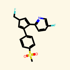 CS(=O)(=O)c1ccc(C2=CC(CF)C=C2c2ccc(F)cn2)cc1